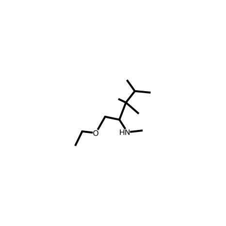 CCOCC(NC)C(C)(C)C(C)C